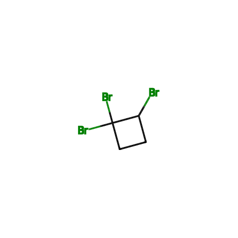 BrC1CCC1(Br)Br